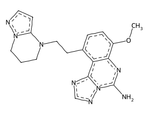 COc1ccc(CCN2CCCn3nccc32)c2c1nc(N)n1ncnc21